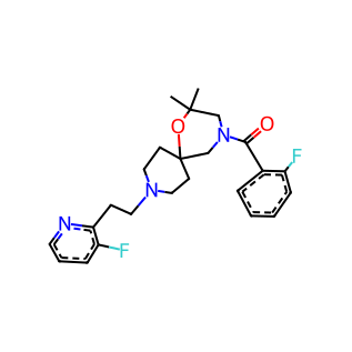 CC1(C)CN(C(=O)c2ccccc2F)CC2(CCN(CCc3ncccc3F)CC2)O1